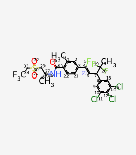 Cc1cc(/C(F)=C/C(c2cc(Cl)c(Cl)c(Cl)c2)C(C)(F)F)ccc1C(=O)N[C@H](C)CS(=O)(=O)CC(F)(F)F